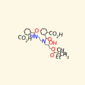 CCC(C)(C)C(=O)OCC(O)CN(CCNC(=O)c1ccccc1C(=O)O)C(=O)c1ccccc1C(=O)O